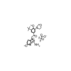 COc1ccc2n(n1)c(N)n[n+]2CC(=O)c1cc(N2CCOCC2)c(OC)c(C(C)(C)C)c1.O=C([O-])C(F)(F)F